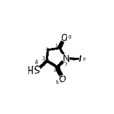 O=C1CC(S)C(=O)N1I